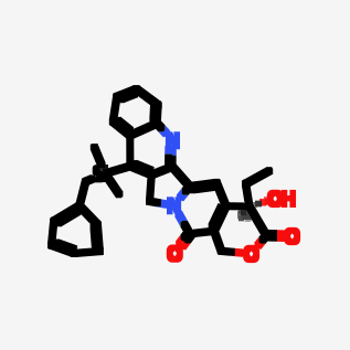 CC[C@@]1(O)C(=O)OCc2c1cc1n(c2=O)Cc2c-1nc1ccccc1c2[Si](C)(C)Cc1ccccc1